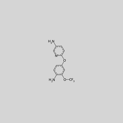 Nc1ccc(Oc2ccc(N)c(OC(F)(F)F)c2)nc1